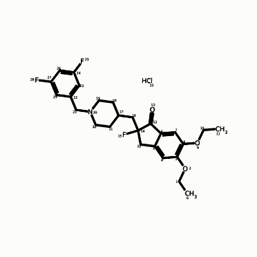 CCOc1cc2c(cc1OCC)C(=O)C(F)(CC1CCN(Cc3cc(F)cc(F)c3)CC1)C2.Cl